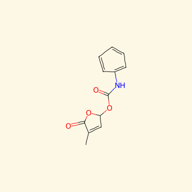 CC1=CC(OC(=O)Nc2ccccc2)OC1=O